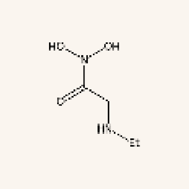 CCNCC(=O)N(O)O